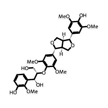 COc1cc([C@@H]2OC[C@@H]3[C@H]2CO[C@H]3c2cc(OC)c(O[C@@H](CO)[C@H](O)c3cccc(O)c3OC)c(OC)c2)cc(OC)c1O